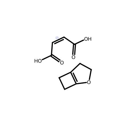 C1CC2=C(CC2)O1.O=C(O)/C=C\C(=O)O